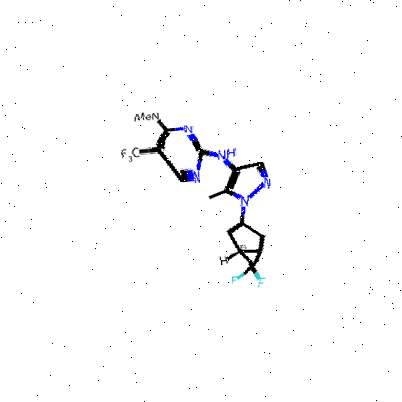 CNc1nc(Nc2cnn(C3CC4[C@@H](C3)C4(F)F)c2C)ncc1C(F)(F)F